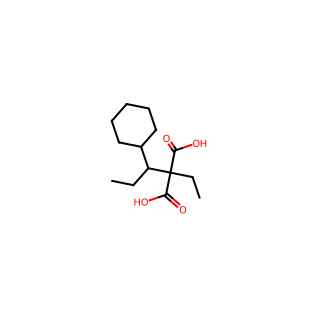 CCC(C1CCCCC1)C(CC)(C(=O)O)C(=O)O